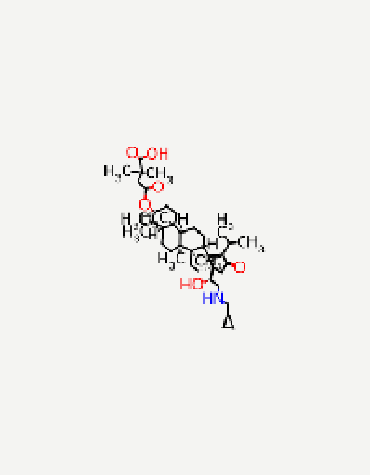 CC(C)C1=C2[C@H]3CC[C@@H]4[C@@]5(C)CC[C@H](OC(=O)CC(C)(C)C(=O)O)C(C)(C)[C@H]5CC[C@@]4(C)[C@]3(C)CC[C@@]2([C@H](O)CNCC2CC2)CC1=O